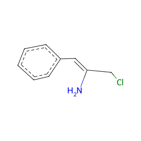 NC(=Cc1ccccc1)CCl